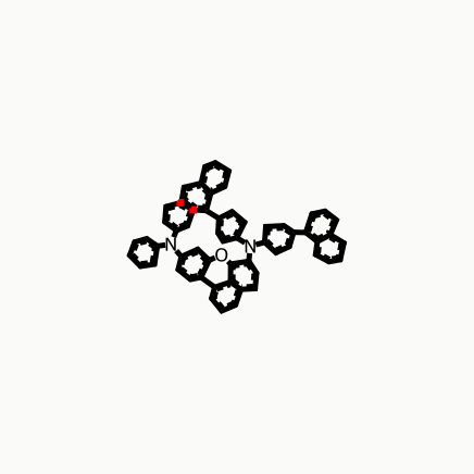 c1ccc(N(c2ccccc2)c2ccc3c(c2)Oc2c(N(c4ccc(-c5cccc6ccccc56)cc4)c4ccc(-c5cccc6ccccc56)cc4)ccc4cccc-3c24)cc1